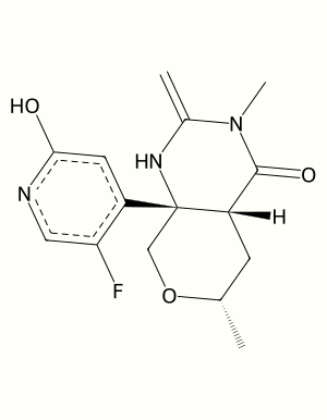 C=C1N[C@@]2(c3cc(O)ncc3F)CO[C@@H](C)C[C@H]2C(=O)N1C